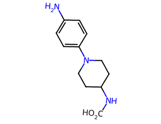 Nc1ccc(N2CCC(NC(=O)O)CC2)cc1